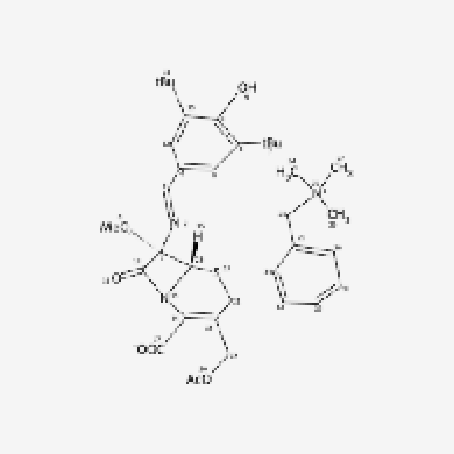 CO[C@@]1(N=Cc2cc(C(C)(C)C)c(O)c(C(C)(C)C)c2)C(=O)N2C(C(=O)[O-])=C(COC(C)=O)CS[C@H]21.C[N+](C)(C)Cc1ccccc1